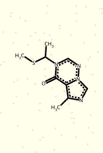 CSC(C)n1cnn2cnc(C)c2c1=O